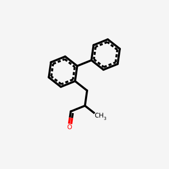 CC(C=O)Cc1ccccc1-c1ccccc1